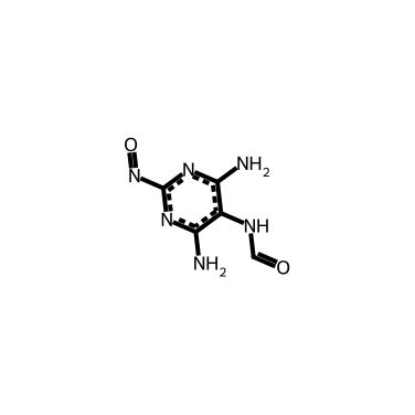 Nc1nc(N=O)nc(N)c1NC=O